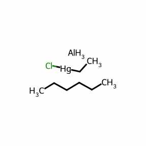 CCCCCC.C[CH2][Hg][Cl].[AlH3]